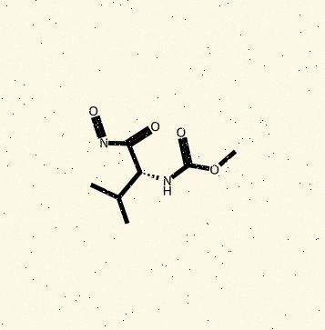 COC(=O)N[C@@H](C(=O)N=O)C(C)C